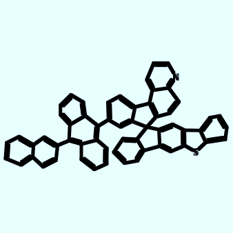 c1ccc2c(c1)-c1cc3sc4ccccc4c3cc1C21c2cc(-c3c4ccccc4c(-c4ccc5ccccc5c4)c4ccccc34)ccc2-c2c1ccc1ncccc21